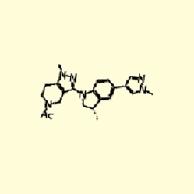 CC(=O)N1CCc2c(c(N3C[C@@H](C)c4cc(-c5cnn(C)c5)ccc43)nn2C)C1